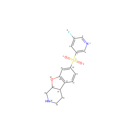 O=S(=O)(c1cncc(F)c1)c1ccc2c(c1)OC1CNCCC21